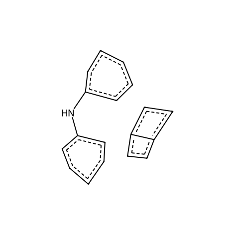 c1cc2ccc1-2.c1ccc(Nc2ccccc2)cc1